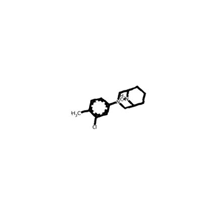 Cc1ccc(N2CC3CCCC(C2)N3C)cc1Cl